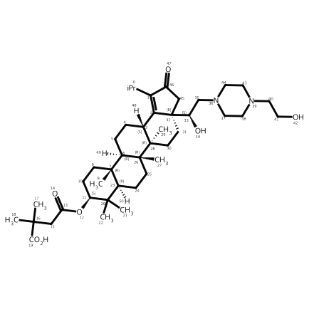 CC(C)C1=C2[C@H]3CC[C@@H]4[C@@]5(C)CC[C@H](OC(=O)CC(C)(C)C(=O)O)C(C)(C)[C@@H]5CC[C@@]4(C)[C@]3(C)CC[C@@]2([C@H](O)CN2CCN(CCO)CC2)CC1=O